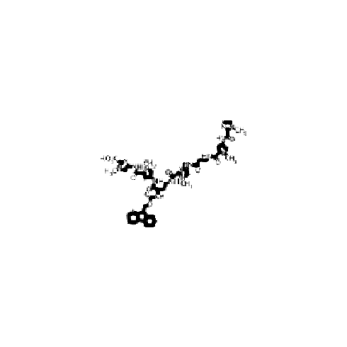 Cn1cc(NC(=O)c2nccn2C)cc1C(=O)NCCC(=O)Nc1cn(C)c(C(=O)NCCC(NC(=O)OCC2c3ccccc3-c3ccccc32)C(=O)Nc2cc(C(=O)Nc3cn(C)c(C(=O)O)n3)n(C)c2)n1